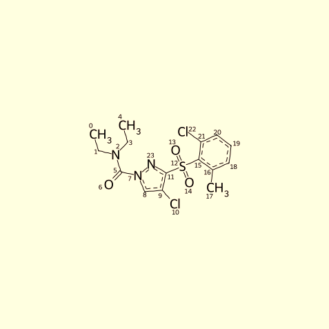 CCN(CC)C(=O)n1cc(Cl)c(S(=O)(=O)c2c(C)cccc2Cl)n1